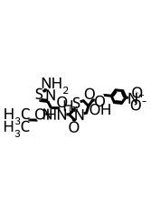 CC(C)CON=C(C(=O)NC1C(=O)N2CC(O)(C(=O)OCc3ccc([N+](=O)[O-])cc3)CS[C@H]12)c1csc(N)n1